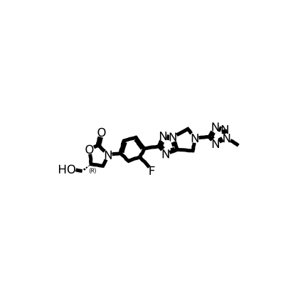 Cn1nnc(N2Cc3nc(C4=CC=C(N5C[C@H](CO)OC5=O)CC4F)nn3C2)n1